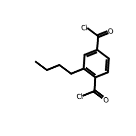 CCCCc1cc(C(=O)Cl)ccc1C(=O)Cl